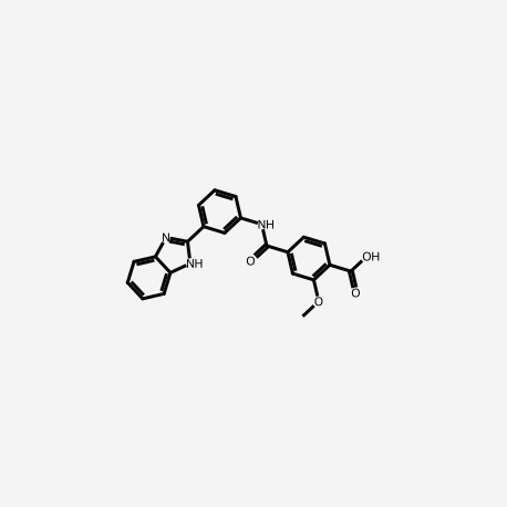 COc1cc(C(=O)Nc2cccc(-c3nc4ccccc4[nH]3)c2)ccc1C(=O)O